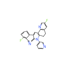 C=C1C(c2cccc(F)c2C#N)=CC2=C(CCc3cc(F)cnc32)N1c1cccnc1